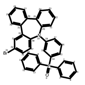 O=P(c1ccccc1)(c1ccccc1)c1cccc(N2c3ccccc3-c3ccccc3-c3cc(Br)ccc32)c1